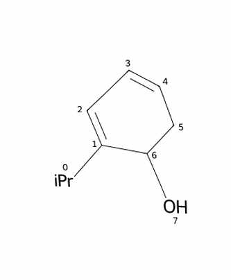 CC(C)C1=CC=CCC1O